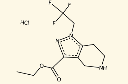 CCOC(=O)c1nn(CC(F)(F)F)c2c1CNCC2.Cl